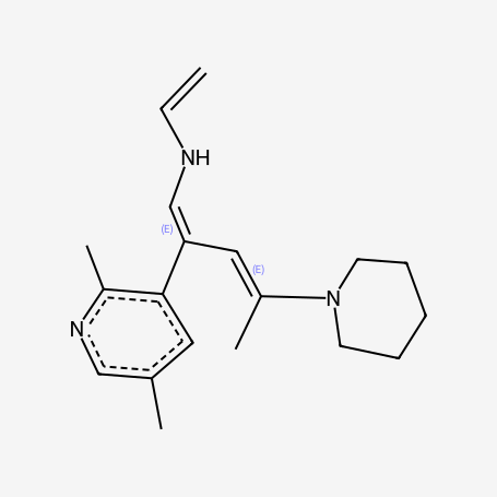 C=CN/C=C(\C=C(/C)N1CCCCC1)c1cc(C)cnc1C